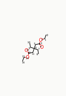 CCOC(=O)CC(CC)(CC)CC(=O)OCC